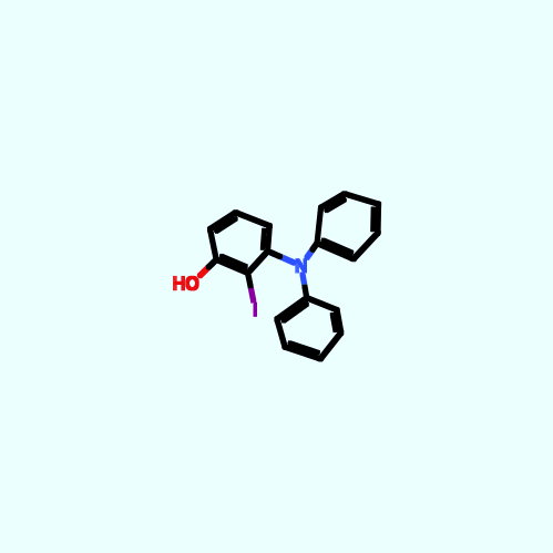 Oc1cccc(N(c2ccccc2)c2ccccc2)c1I